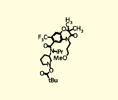 COCCCN1C(=O)C(C)(C)Oc2cc(C(F)(F)F)c(C(=O)N(C(C)C)[C@@H]3CCCN(OC(=O)C(C)(C)C)C3)cc21